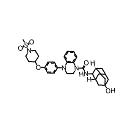 CS(=O)(=O)N1CCC(Oc2ccc(N3CCN(C(=O)NC4[C@@H]5CC6C[C@H]4CC(O)(C6)C5)c4ccccc43)cc2)CC1